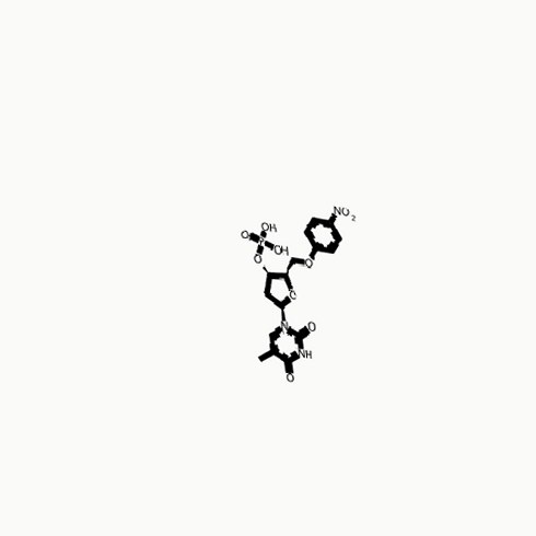 Cc1cn([C@H]2C[C@H](OP(=O)(O)O)[C@@H](COc3ccc([N+](=O)[O-])cc3)O2)c(=O)[nH]c1=O